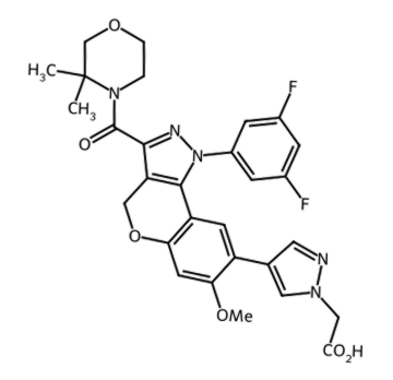 COc1cc2c(cc1-c1cnn(CC(=O)O)c1)-c1c(c(C(=O)N3CCOCC3(C)C)nn1-c1cc(F)cc(F)c1)CO2